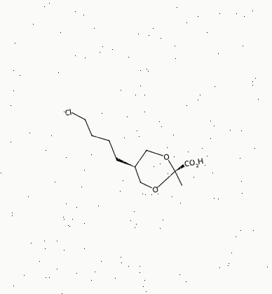 C[C@]1(C(=O)O)OC[C@@H](CCCCCl)CO1